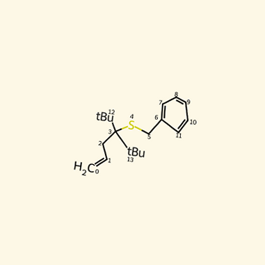 C=CCC(SCc1ccccc1)(C(C)(C)C)C(C)(C)C